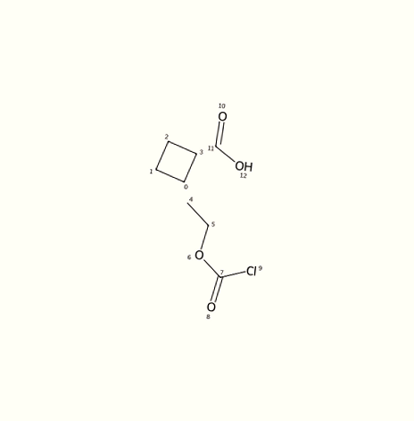 C1CCC1.CCOC(=O)Cl.O=CO